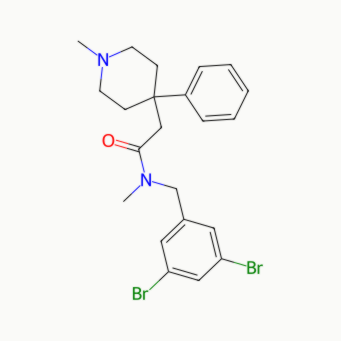 CN1CCC(CC(=O)N(C)Cc2cc(Br)cc(Br)c2)(c2ccccc2)CC1